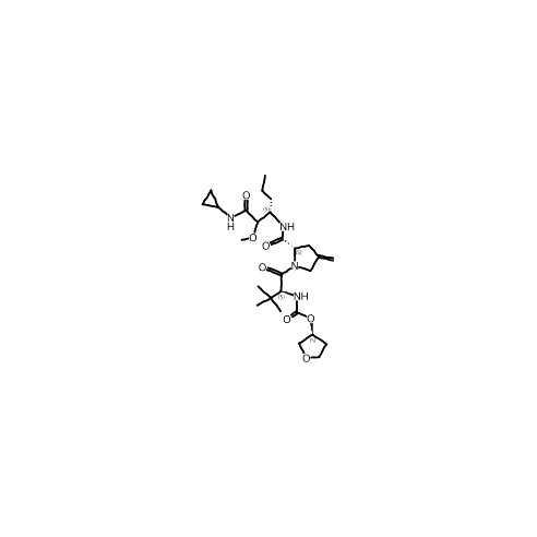 C=C1C[C@@H](C(=O)N[C@@H](CCC)C(OC)C(=O)NC2CC2)N(C(=O)[C@@H](NC(=O)O[C@H]2CCOC2)C(C)(C)C)C1